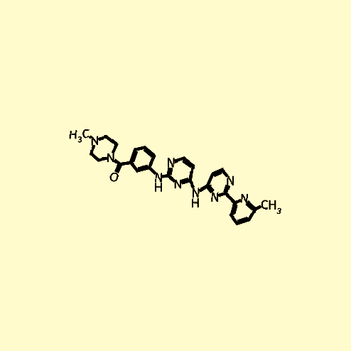 Cc1cccc(-c2nccc(Nc3ccnc(Nc4cccc(C(=O)N5CCN(C)CC5)c4)n3)n2)n1